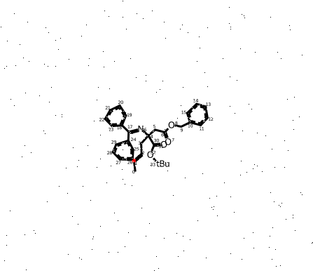 C/C=C/CC(CC(=O)OCc1ccccc1)(N=C(c1ccccc1)c1ccccc1)C(=O)OC(C)(C)C